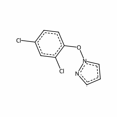 Clc1ccc(On2cc[c]n2)c(Cl)c1